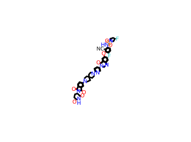 N#Cc1c(NS(=O)(=O)N2CC[C@@H](F)C2)ccc(F)c1Oc1ccc2ncn(-c3ccc(N4CCC5(CCN(c6ccc7c(c6)C(=O)N(C6CCC(=O)NC6=O)C7=O)CC5)CC4)nc3)c(=O)c2c1